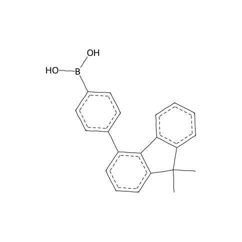 CC1(C)c2ccccc2-c2c(-c3ccc(B(O)O)cc3)cccc21